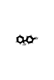 Brc1ccc(C2(Br)C=CC=CC2)cc1